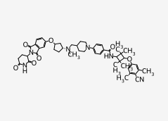 Cc1cc(OC2C(C)(C)C(NC(=O)c3ccc(N4CCC(CN(C)[C@@H]5CC[C@@H](Oc6ccc7c(c6)C(=O)N(C6CCC(=O)NC6=O)C7=O)C5)CC4)cc3)C2(C)C)cc(C)c1C#N